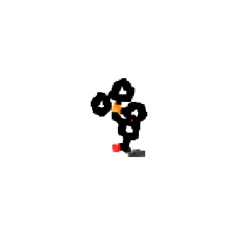 COC(=O)c1cccc(C[PH](c2ccccc2)(c2ccccc2)c2ccccc2)c1